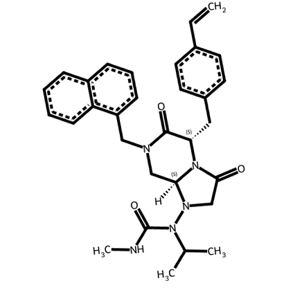 C=Cc1ccc(C[C@H]2C(=O)N(Cc3cccc4ccccc34)C[C@H]3N2C(=O)CN3N(C(=O)NC)C(C)C)cc1